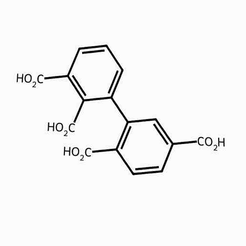 O=C(O)c1ccc(C(=O)O)c(-c2cccc(C(=O)O)c2C(=O)O)c1